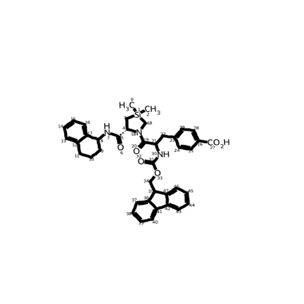 C[Si]1(C)C[C@@H](C(=O)NC2CCCc3ccccc32)N(C(=O)C(Cc2ccc(C(=O)O)cc2)NC(=O)OCC2c3ccccc3-c3ccccc32)C1